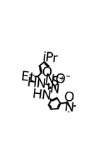 CCC(Nc1n[s+]([O-])nc1Nc1cccc(C(=O)N(C)C)c1)c1cc(C(C)C)co1